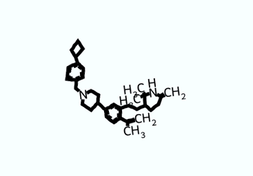 C=C1CCC(CCc2cc(C3CCN(Cc4ccc(C5CCC5)cc4)CC3)ccc2C(=C)C)C(C)(C)N1